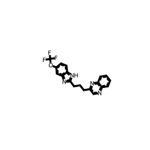 FC(F)(F)Oc1ccc2[nH]c(CCCc3cnc4ccccc4n3)nc2c1